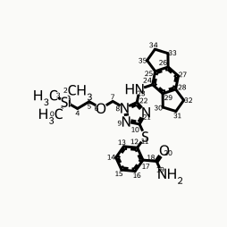 C[Si](C)(C)CCOCn1nc(Sc2ccccc2C(N)=O)nc1Nc1c2c(cc3c1CCC3)CCC2